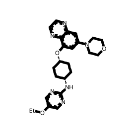 CCOc1cnc(N[C@H]2CC[C@@H](Oc3cc(N4CCOCC4)cc4nccnc34)CC2)nc1